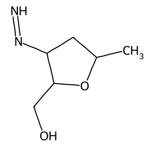 CC1CC(N=N)C(CO)O1